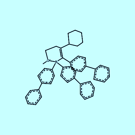 C[O+]1CCC(C2CCCCC2)=C(c2ccc(-c3ccccc3)cc2)[B-]1(c1ccc(-c2ccccc2)cc1)c1ccc(-c2ccccc2)cc1